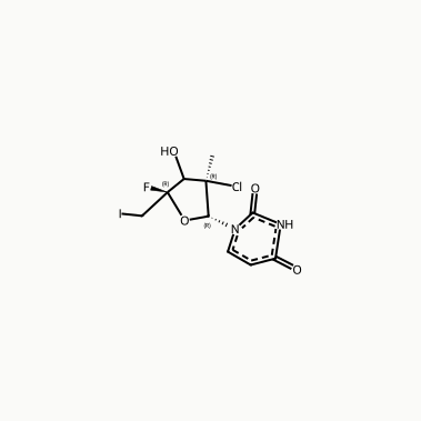 C[C@@]1(Cl)C(O)[C@@](F)(CI)O[C@H]1n1ccc(=O)[nH]c1=O